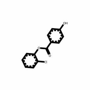 O=C(Oc1ccccc1Cl)c1ccc(O)cc1